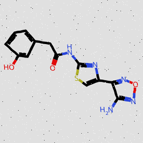 Nc1nonc1-c1csc(NC(=O)Cc2cccc(O)c2)n1